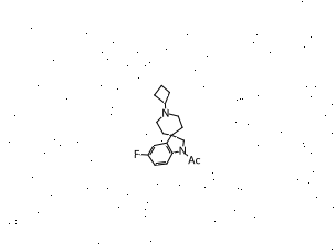 CC(=O)N1CC2(CCN(C3CCC3)CC2)c2cc(F)ccc21